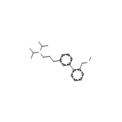 COCc1ccccc1-c1cccc(CCCN(C(C)C)C(C)C)c1